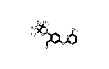 Cc1ccnc(Oc2ccc(B3OC(C)(C)C(C)(C)O3)c(C=O)c2)n1